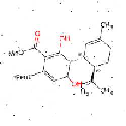 C=C(C)[C@@H]1CCC(C)=C[C@H]1C1C(O)=C(C(=O)OC)C(CCCCC)=CC1O